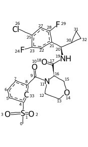 CS(=O)(=O)c1cccc(C(=O)N2CCOC[C@@H]2C(=O)N[C@@H](c2cc(F)c(Cl)cc2F)C2CC2)c1